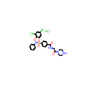 Cl.O=C(NCC(=O)N1CCNCC1)c1ccc(S(=O)(=O)N(Oc2ccc(Br)cc2Cl)c2ccccc2)cc1